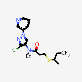 CCN(C(=O)CCSC(C)CC(F)(F)F)c1cn(-c2cccnc2)nc1Cl